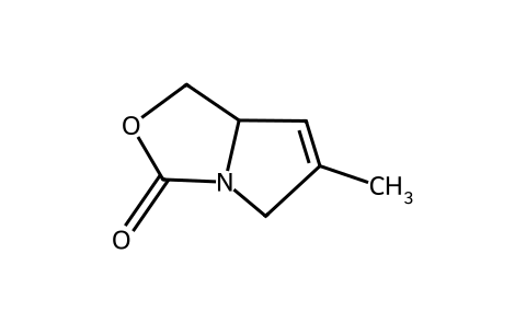 CC1=CC2COC(=O)N2C1